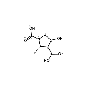 C[C@H]1C(C(=O)O)C(O)CN1C(=O)O